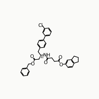 O=C(CCC(=O)Oc1ccc2c(c1)CCC2)N[C@@H](CC(=O)OCc1ccccc1)Cc1ccc(-c2cccc(Cl)c2)cc1